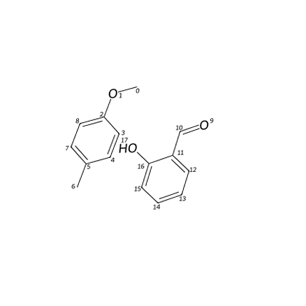 COc1ccc(C)cc1.O=Cc1ccccc1O